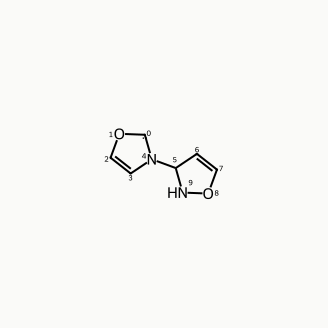 [C]1OC=CN1C1C=CON1